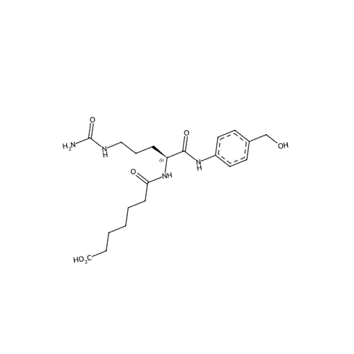 NC(=O)NCCC[C@H](NC(=O)CCCCCC(=O)O)C(=O)Nc1ccc(CO)cc1